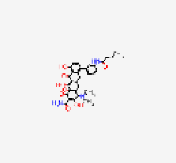 CCCC(=O)Nc1cccc(-c2ccc(O)c3c2CC2CC4C(N(C)C)C(O)=C(C(N)=O)C(=O)C4(O)C(O)=C2C3=O)c1